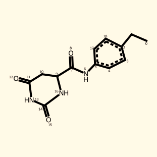 CCc1ccc(NC(=O)C2CC(=O)NC(=O)N2)cc1